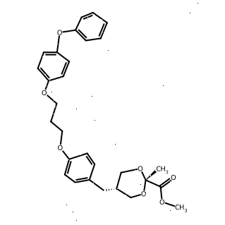 COC(=O)[C@]1(C)OC[C@H](Cc2ccc(OCCCOc3ccc(Oc4ccccc4)cc3)cc2)CO1